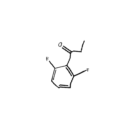 CCC(=O)c1c(F)cccc1F